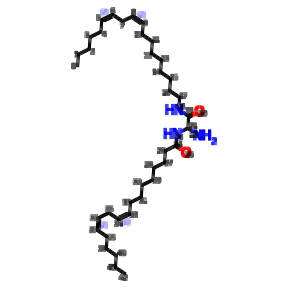 CCCCC/C=C\C/C=C\CCCCCCCCNC(=O)C(N)NC(=O)CCCCCCC/C=C\C/C=C\CCCCC